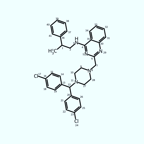 CC(CNc1nc(CN2CCN(C(c3ccc(Cl)cc3)c3ccc(Cl)cc3)CC2)nc2ccccc12)c1ccccc1